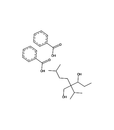 CCC(O)C(CO)(CCC(C)C)C(C)C.O=C(O)c1ccccc1.O=C(O)c1ccccc1